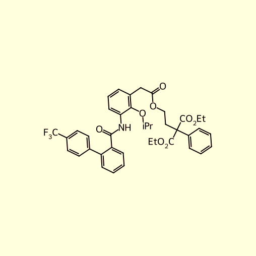 CCOC(=O)C(CCOC(=O)Cc1cccc(NC(=O)c2ccccc2-c2ccc(C(F)(F)F)cc2)c1OC(C)C)(C(=O)OCC)c1ccccc1